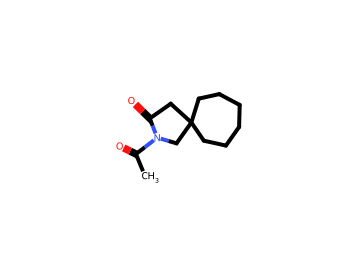 CC(=O)N1CC2(CCCCCC2)CC1=O